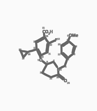 COc1ccc(CN2CC(Oc3cc(F)c(C(=O)O)cc3C3CC3)CCC2=O)cc1